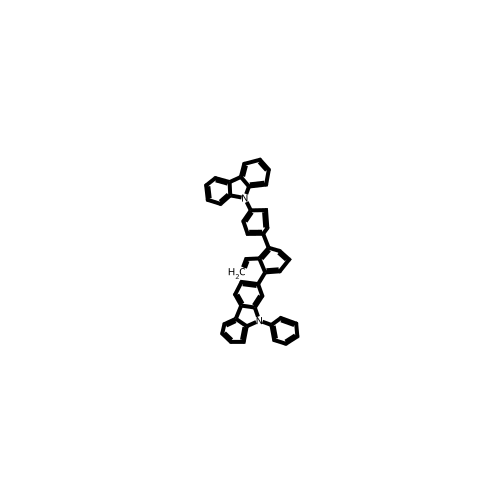 C=Cc1c(-c2ccc(-n3c4ccccc4c4ccccc43)cc2)cccc1-c1ccc2c3ccccc3n(-c3ccccc3)c2c1